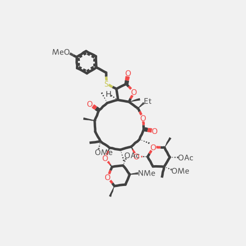 CC[C@H]1OC(=O)[C@H](C)[C@@H](O[C@H]2C[C@@](C)(OC)[C@@H](OC(C)=O)[C@H](C)O2)[C@H](C)[C@@H](O[C@@H]2O[C@H](C)C[C@H](NC)[C@H]2OC(C)=O)[C@](C)(OC)C[C@@H](C)C(=O)[C@H](C)[C@H]2C(SCc3ccc(OC)cc3)C(=O)O[C@@]21C